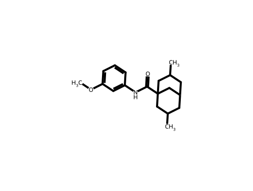 COc1cccc(NC(=O)C23CC(C)CC(CC(C)C2)C3)c1